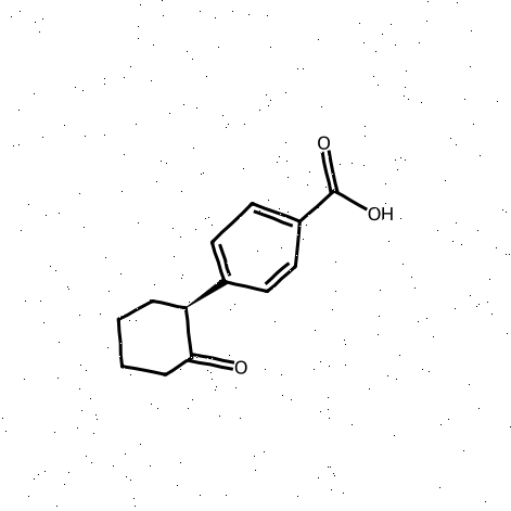 O=C(O)c1ccc([C@@H]2CCCCC2=O)cc1